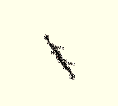 C=C(C)C(=O)OCCCCOc1ccc(C(=O)Oc2ccc(/C=C(\C#N)C(=O)O[C@H]3CO[C@H]4[C@@H]3OC[C@H]4OC(=O)/C(C#N)=C/c3ccc(OC(=O)c4ccc(OCCCCOC(=O)C(=C)C)cc4)c(OC)c3)cc2OC)cc1